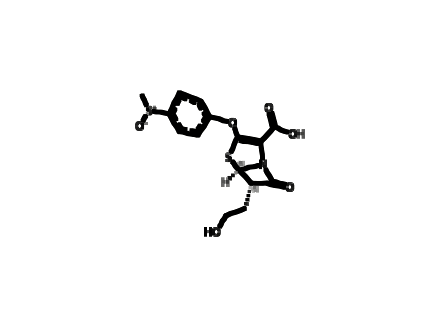 C[S+]([O-])c1ccc(OC2=C(C(=O)O)N3C(=O)[C@H](CCO)[C@H]3S2)cc1